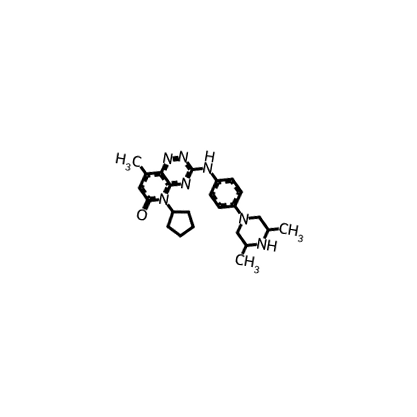 Cc1cc(=O)n(C2CCCC2)c2nc(Nc3ccc(N4CC(C)NC(C)C4)cc3)nnc12